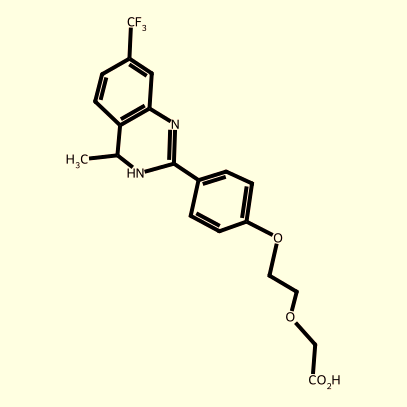 CC1NC(c2ccc(OCCOCC(=O)O)cc2)=Nc2cc(C(F)(F)F)ccc21